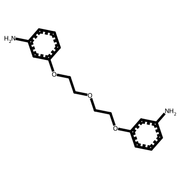 Nc1cccc(OCCOCCOc2cccc(N)c2)c1